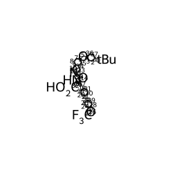 CC(C)(C)c1ccc(Oc2ccc3cnc(C(=O)N[C@@H](Cc4ccc(-c5ccc(OC(F)(F)F)cc5)cc4)C(=O)O)cc3c2)cc1